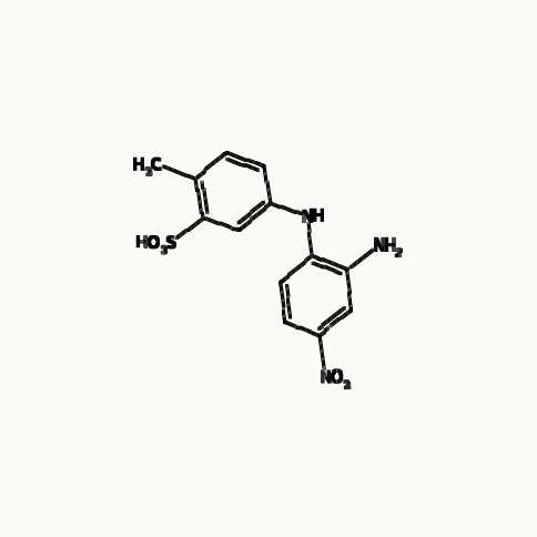 Cc1ccc(Nc2ccc([N+](=O)[O-])cc2N)cc1S(=O)(=O)O